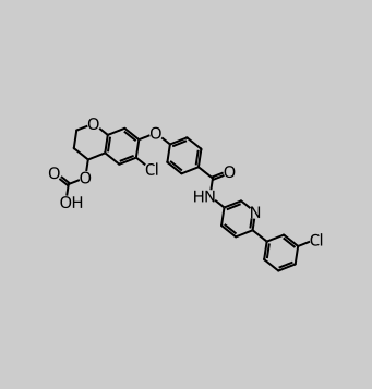 O=C(O)OC1CCOc2cc(Oc3ccc(C(=O)Nc4ccc(-c5cccc(Cl)c5)nc4)cc3)c(Cl)cc21